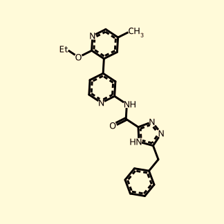 CCOc1ncc(C)cc1-c1ccnc(NC(=O)c2nnc(Cc3ccccc3)[nH]2)c1